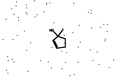 OC1(I)C=CCC1